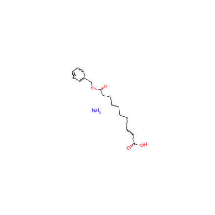 N.O=C(O)CCCCCCCCC(=O)OCc1ccccc1